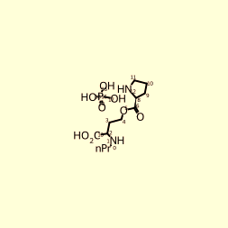 CCCNC(CCOC(=O)[C@@H]1CCCN1)C(=O)O.O=P(O)(O)O